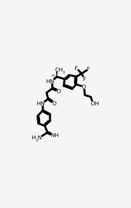 C[C@H](NC(=O)CC(=O)Nc1ccc(C(=N)N)cc1)c1ccc(OCCO)c(C(F)(F)F)c1